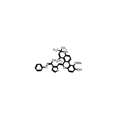 COc1c(O)ccc2c1-c1ccc3c(c1/C(=C/c1sccc1/C(C)=N\Oc1ccccc1)O2)C(C)=CC(C)(C)N3